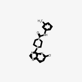 Cc1cccc(NC(=O)N2CCN(c3ncnc4ccc(Cl)nc34)CC2)c1